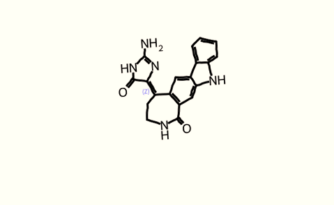 NC1=N/C(=C2/CCNC(=O)c3cc4[nH]c5ccccc5c4cc32)C(=O)N1